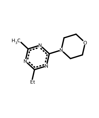 CCc1nc(C)nc(N2CCOCC2)n1